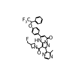 Cc1nccnc1-c1nn2c(=O)cc(-c3ccc(OC(c4ccccc4)C(F)(F)F)cc3)[nH]c2c1C(=O)N1CC(CF)C1